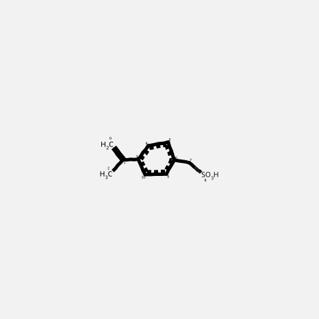 C=C(C)c1ccc(CS(=O)(=O)O)cc1